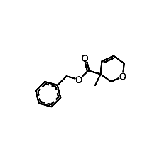 CC1(C(=O)OCc2ccccc2)C=CCOC1